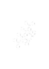 C1=Cc2c(c3cccc4c3n2B2c3cc5c(cc3N(c3ccccc3)c3cc(N(c6ccccc6)c6ccccc6)cc-4c32)N(c2ccccc2)c2cc(N(c3ccccc3)c3ccccc3)cc3c2B5n2c4ccccc4c4cccc-3c42)CC1